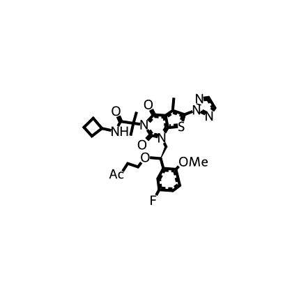 COc1ccc(F)cc1[C@H](Cn1c(=O)n(C(C)(C)C(=O)NC2CCC2)c(=O)c2c(C)c(-n3nccn3)sc21)OCCC(C)=O